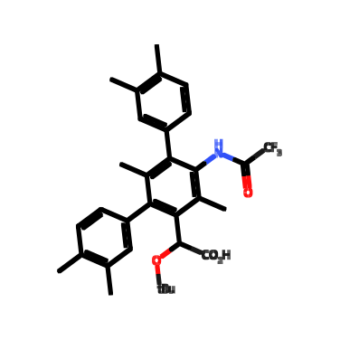 Cc1ccc(-c2c(C)c(-c3ccc(C)c(C)c3)c(C(OC(C)(C)C)C(=O)O)c(C)c2NC(=O)C(F)(F)F)cc1C